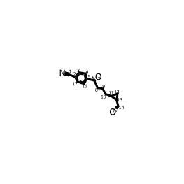 N#Cc1ccc(C(=O)CCCC2CC2C=O)cc1